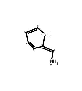 NC=C1C=CC=[C]N1